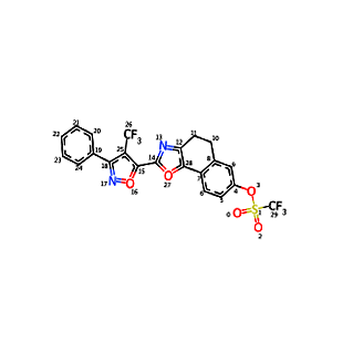 O=S(=O)(Oc1ccc2c(c1)CCc1nc(-c3onc(-c4ccccc4)c3C(F)(F)F)oc1-2)C(F)(F)F